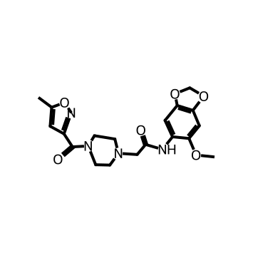 COc1cc2c(cc1NC(=O)CN1CCN(C(=O)c3cc(C)on3)CC1)OCO2